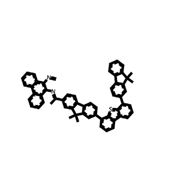 C=Nc1c(/N=C(\C)c2ccc3c(c2)C(C)(C)c2cc(-c4cccc5c4sc4c(-c6ccc7c(c6)C(C)(C)c6ccccc6-7)cccc45)ccc2-3)c2ccccc2c2ccccc12